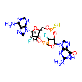 Nc1nc2c(ncn2C2OC3PO[C@H]4C(COP(S)OC2C3F)O[C@@H](n2cnc3c(N)ncnc32)[C@H]4F)c(=O)[nH]1